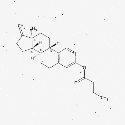 C=C1CC[C@H]2[C@@H]3CCc4cc(OC(=O)CCC)ccc4[C@H]3CC[C@]12C